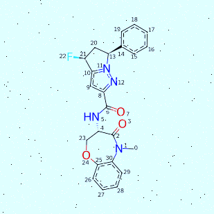 CN1C(=O)[C@@H](NC(=O)c2cc3n(n2)[C@H](c2ccccc2)C[C@@H]3F)COc2ccccc21